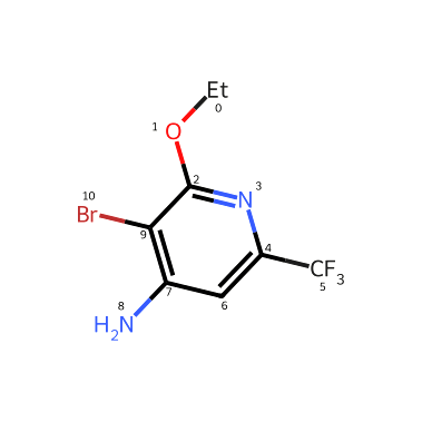 CCOc1nc(C(F)(F)F)cc(N)c1Br